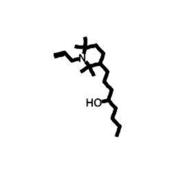 C=CCN1C(C)(C)CCC(CCCC(O)CCCC)C1(C)C